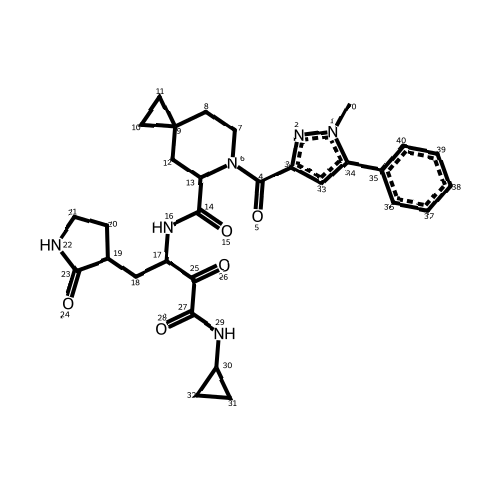 Cn1nc(C(=O)N2CCC3(CC3)CC2C(=O)NC(CC2CCNC2=O)C(=O)C(=O)NC2CC2)cc1-c1ccccc1